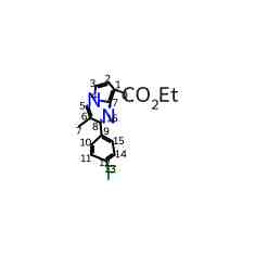 CCOC(=O)c1ccn2cc(C)c(-c3ccc(F)cc3)nc12